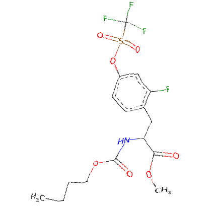 CCCCOC(=O)NC(Cc1ccc(OS(=O)(=O)C(F)(F)F)cc1F)C(=O)OC